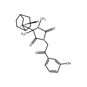 CN1C(=O)N(CC(=O)c2cccc(O)c2)C(=O)C1(C)[C@H]1CC2CCC1CC2